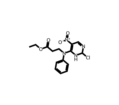 CCOC(=O)CCN(C1=C([N+](=O)[O-])C=NC(Cl)N1)c1ccccc1